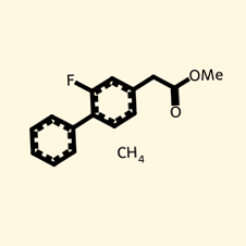 C.COC(=O)Cc1ccc(-c2ccccc2)c(F)c1